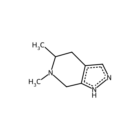 CC1Cc2cn[nH]c2CN1C